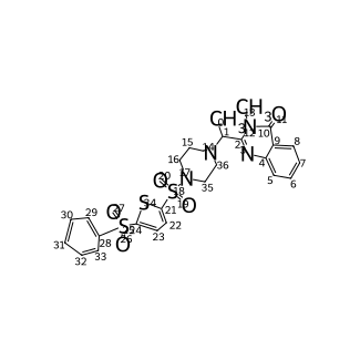 CC(c1nc2ccccc2c(=O)n1C)N1CCN(S(=O)(=O)c2ccc(S(=O)(=O)c3ccccc3)s2)CC1